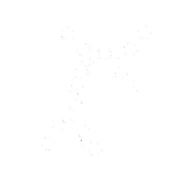 CC1(C)c2ccccc2-c2cc(N(c3ccc4c(c3)oc3cc5cc6c7cc(-c8ccccc8)cc8c9ccc(N(c%10ccc%11c(c%10)-c%10ccccc%10C%11(C)C)c%10ccc%11c(c%10)sc%10ccccc%10%11)cc9n(c6cc5cc34)c87)c3ccc4c(c3)sc3ccccc34)ccc21